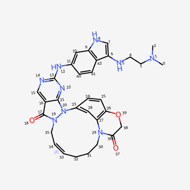 CN(C)CCNc1c[nH]c2cc(Nc3ncc4c(=O)n5n(c4n3)-c3ccc4c(c3)N(CCC/C=C\C5)C(=O)CO4)ccc12